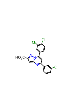 O=C(O)c1cc2nc(-c3cccc(Cl)c3)cc(-c3ccc(Cl)c(Cl)c3)n2n1